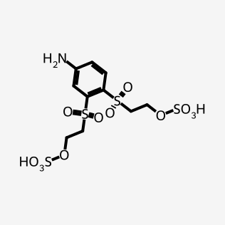 Nc1ccc(S(=O)(=O)CCOS(=O)(=O)O)c(S(=O)(=O)CCOS(=O)(=O)O)c1